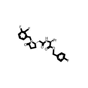 CC(C)[C@H](NC(=O)C[C@@H]1CCC(=O)N1Cc1cccc(F)c1F)C(=O)OCc1ccc(F)cc1